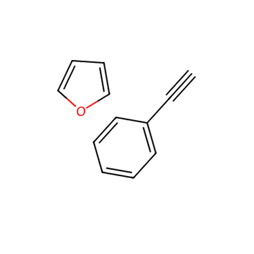 C#Cc1ccccc1.c1ccoc1